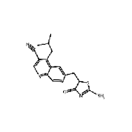 CC(C)Cc1c(C#N)cnc2ccc(CC3SC(N)=NC3=O)cc12